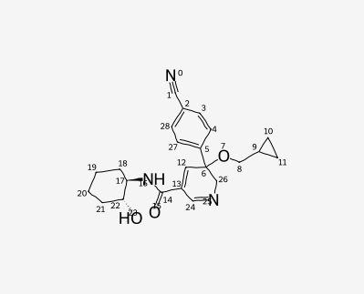 N#Cc1ccc(C2(OCC3CC3)C=C(C(=O)N[C@@H]3CCCC[C@H]3O)C=NC2)cc1